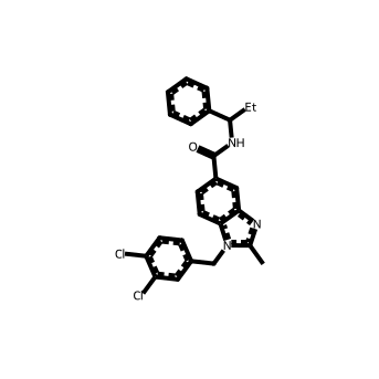 CCC(NC(=O)c1ccc2c(c1)nc(C)n2Cc1ccc(Cl)c(Cl)c1)c1ccccc1